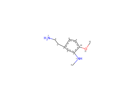 CNc1cc(CCN)ccc1OC